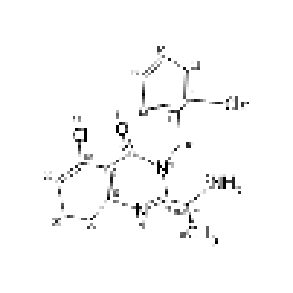 C[C@H](N)c1nc2c(c(=O)n1Cc1ccccc1Cl)C(Cl)=CCC2